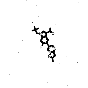 CC(=O)c1cn(CC(C)(C)C)c2cc(F)c(-c3cnc4cc(C)nn4c3)cc12